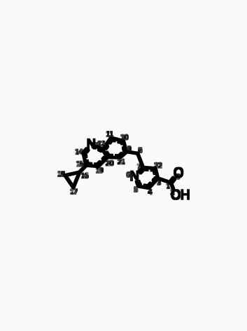 O=C(O)c1ccnc(Cc2ccc3ncc(C4CC4)cc3c2)c1